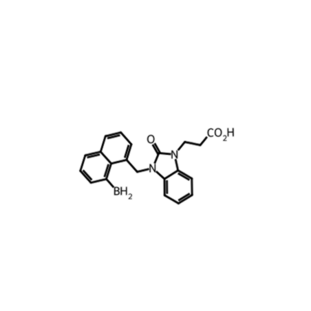 Bc1cccc2cccc(Cn3c(=O)n(CCC(=O)O)c4ccccc43)c12